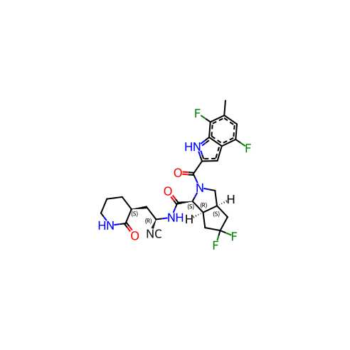 Cc1cc(F)c2cc(C(=O)N3C[C@H]4CC(F)(F)C[C@H]4[C@H]3C(=O)N[C@@H](C#N)C[C@@H]3CCCNC3=O)[nH]c2c1F